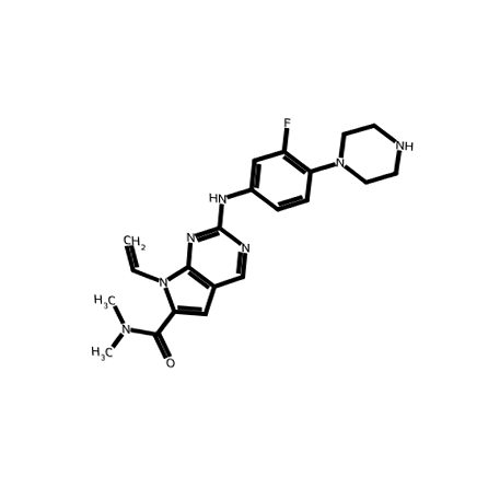 C=Cn1c(C(=O)N(C)C)cc2cnc(Nc3ccc(N4CCNCC4)c(F)c3)nc21